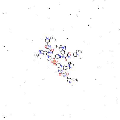 Cc1cc(-c2nc(C(=O)Nc3cc4cnn(C)c4cc3N3CCC(OP(=O)(OC4CCN(c5cc6c(cnn6C)cc5NC(=O)c5coc(-c6ccnc(C)c6)n5)CC4)OC4CCN(c5cc6c(cnn6C)cc5NC(=O)c5coc(-c6ccnc(C)c6)n5)CC4)CC3)co2)ccn1